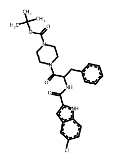 CC(C)(C)OC(=O)N1CCN(C(=O)C(Cc2ccccc2)NC(=O)c2cc3cc(Cl)ccc3[nH]2)CC1